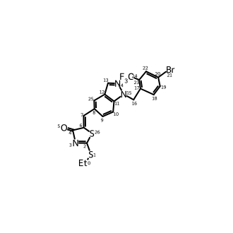 CCSC1=NC(=O)/C(=C/c2ccc3c(cnn3Cc3ccc(Br)cc3C(F)(F)F)c2)S1